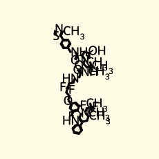 Cc1ncsc1-c1ccc(CNC(=O)[C@@H]2C[C@@H](O)CN2C(=O)[C@@H](NC(=O)CNCCC(F)(F)CCOc2cc(F)c([C@@H]3c4[nH]c5ccccc5c4C[C@@H](C)N3CC(C)(C)F)c(F)c2)C(C)(C)C)cc1